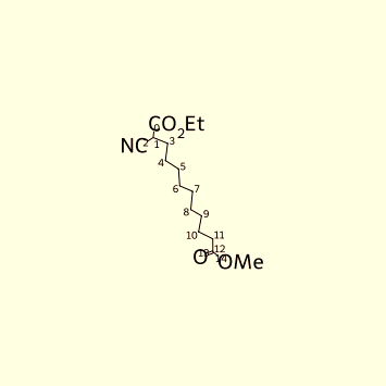 CCOC(=O)C(C#N)CCCCCCCCCC(=O)OC